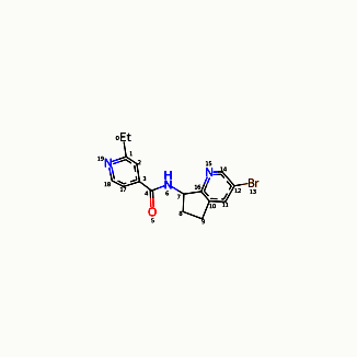 CCc1cc(C(=O)NC2CCc3cc(Br)cnc32)ccn1